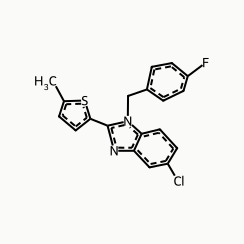 Cc1ccc(-c2nc3cc(Cl)ccc3n2Cc2ccc(F)cc2)s1